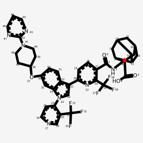 O=C(NC1(C(=O)O)C2CCC3CC(C2)CC1C3)c1ccc(-c2cn(-c3ccncc3C(F)(F)F)c3cc(OC4CCN(c5ncccn5)CC4)ccc23)nc1C(F)(F)F